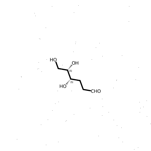 O=CCC[C@H](O)[C@@H](O)CO